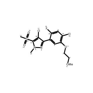 COCCOc1cc(-c2nn(C)c(S(C)(=O)=O)c2Cl)c(F)cc1Cl